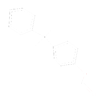 CC(C)(c1ccccc1)c1ccc(OC=O)cc1